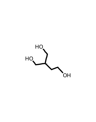 OCC[C](CO)CO